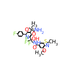 COc1cc(C(=O)NC[C@](O)(c2cc3c(c(-c4ccc(F)cc4)n2)OC[C@]3(C)C(N)=O)C(F)(F)F)cc2sc(C)nc12